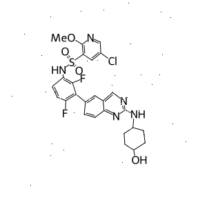 COc1ncc(Cl)cc1S(=O)(=O)Nc1ccc(F)c(-c2ccc3nc(NC4CCC(O)CC4)ncc3c2)c1F